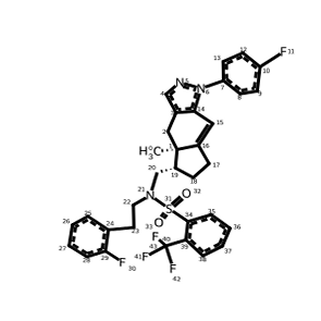 C[C@]12Cc3cnn(-c4ccc(F)cc4)c3C=C1CC[C@@H]2CN(CCc1ccccc1F)S(=O)(=O)c1ccccc1C(F)(F)F